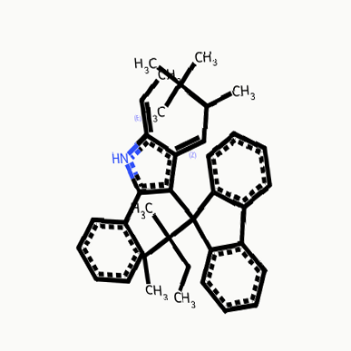 C/C=c1/[nH]c(-c2ccccc2)c(C2(C(C)(CC)CC)c3ccccc3-c3ccccc32)/c1=C/C(C)C(C)(C)C